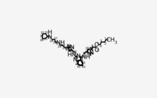 CCCCCOC(=O)Cn1cc(CNc2nc(NCc3cn(CCCNCCCNC4CCCCC4)nn3)nc3ccccc23)nn1